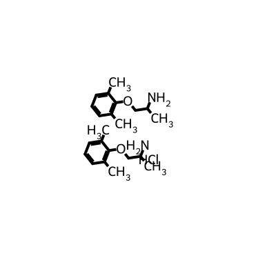 Cc1cccc(C)c1OCC(C)N.Cc1cccc(C)c1OCC(C)N.Cl